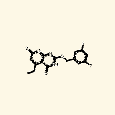 CCc1cc(=O)oc2nc(OCc3cc(F)cc(F)c3)[nH]c(=O)c12